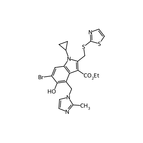 CCOC(=O)c1c(CSc2nccs2)n(C2CC2)c2cc(Br)c(O)c(Cn3ccnc3C)c12